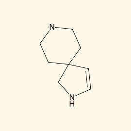 C1=CC2(CC[N]CC2)CN1